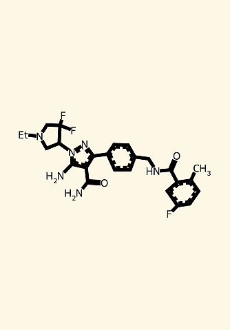 CCN1CC(n2nc(-c3ccc(CNC(=O)c4cc(F)ccc4C)cc3)c(C(N)=O)c2N)C(F)(F)C1